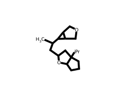 CC(CC1CC2(C(C)C)CCCC2O1)C1C2COCC21